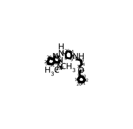 CN(C)c1nc(N[C@H]2CC[C@@H](NC/C=C\COCc3ccccc3)CC2)nc2ccccc12